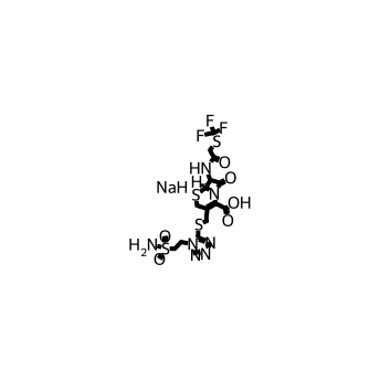 NS(=O)(=O)CCn1nnnc1SCC1=C(C(=O)O)N2C(=O)C(NC(=O)CSC(F)(F)F)[C@H]2SC1.[NaH]